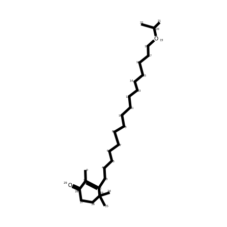 CC1=C(CCCCCCCCCCCCCCCCOC(C)C)C(C)(C)CCC1=O